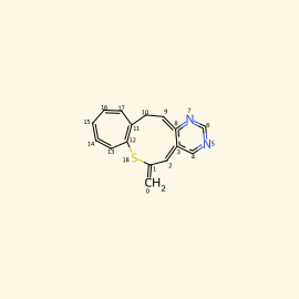 C=C1/C=c2/cncn/c2=C/CC2=C(C=C=CC=C2)S1